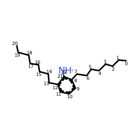 CCCCCCCCc1cccc(CCCCCCCC)c1[NH]